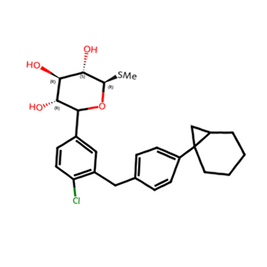 CS[C@H]1OC(c2ccc(Cl)c(Cc3ccc(C45CCCCC4C5)cc3)c2)[C@H](O)[C@@H](O)[C@@H]1O